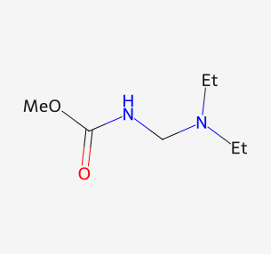 CCN(CC)CNC(=O)OC